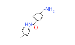 Cc1ccc(NC(=O)c2ccc(CN)cc2)cc1